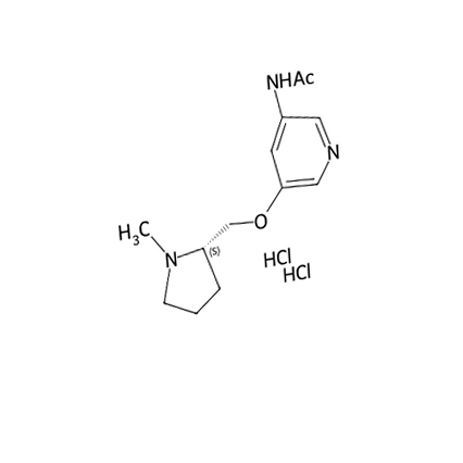 CC(=O)Nc1cncc(OC[C@@H]2CCCN2C)c1.Cl.Cl